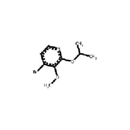 COc1c(Br)ccnc1OC(C)C